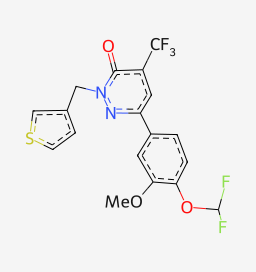 COc1cc(-c2cc(C(F)(F)F)c(=O)n(Cc3ccsc3)n2)ccc1OC(F)F